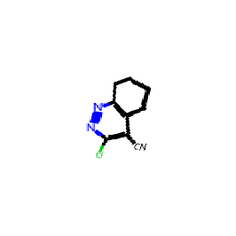 N#Cc1c(Cl)nnc2c1CCCC2